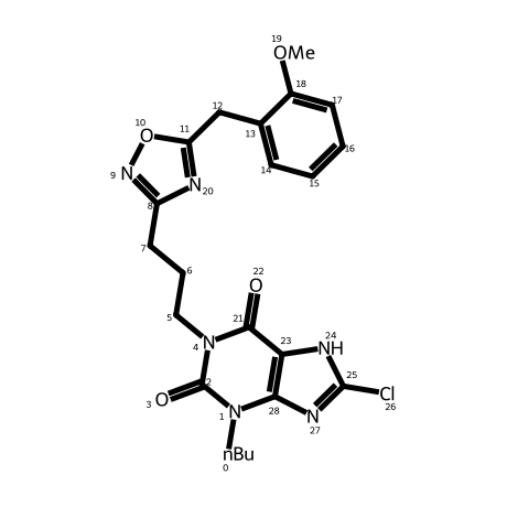 CCCCn1c(=O)n(CCCc2noc(Cc3ccccc3OC)n2)c(=O)c2[nH]c(Cl)nc21